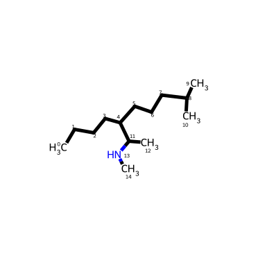 CCCCC(CCCC(C)C)C(C)NC